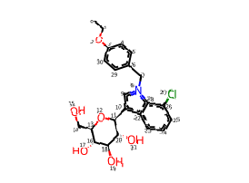 CCOc1ccc(Cn2cc([C@@H]3O[C@H](CO)[C@@H](O)[C@H](O)[C@H]3O)c3cccc(Cl)c32)cc1